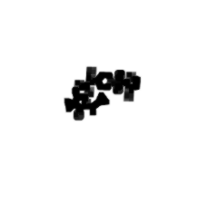 CC(C1CC1)N1C(=O)C2(CC2)c2cnc(NC3CCN(S(=O)(=O)c4ncc[nH]4)CC3)nc21